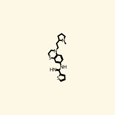 CN1CCCC1CCN1CCSc2cc(NC(=N)c3cccs3)ccc21